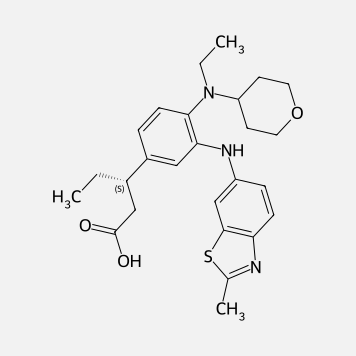 CC[C@@H](CC(=O)O)c1ccc(N(CC)C2CCOCC2)c(Nc2ccc3nc(C)sc3c2)c1